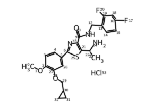 COc1ccc(-c2nc(C(=O)NCc3ccc(F)cc3F)c([C@H](C)N)s2)cc1OCC1CC1.Cl